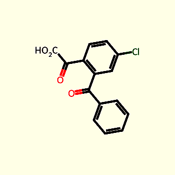 O=C(O)C(=O)c1ccc(Cl)cc1C(=O)c1ccccc1